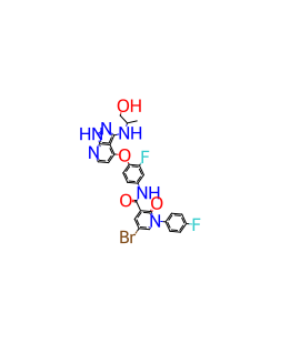 CC(CO)Nc1n[nH]c2nccc(Oc3ccc(NC(=O)c4cc(Br)cn(-c5ccc(F)cc5)c4=O)cc3F)c12